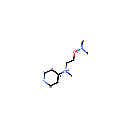 CN(C)OCCN(C)C1CCNCC1